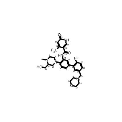 CN1CCN(c2ccc(-c3cc(CN4CCOCC4)ccc3F)cc2NC(=O)c2c[nH]c(=O)cc2C(F)(F)F)CC1CO